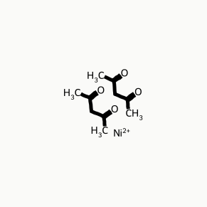 CC(=O)CC(C)=O.CC(=O)CC(C)=O.[Ni+2]